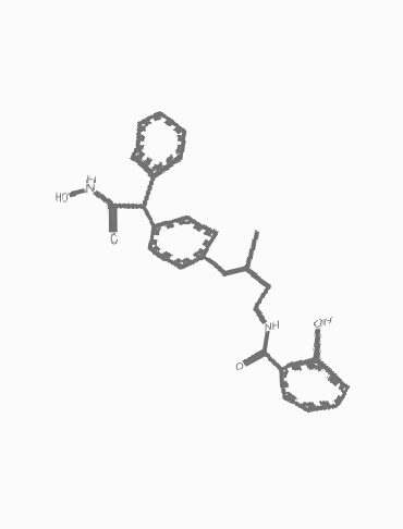 CC(CCNC(=O)c1ccccc1O)Cc1ccc(C(C(=O)NO)c2ccccc2)cc1